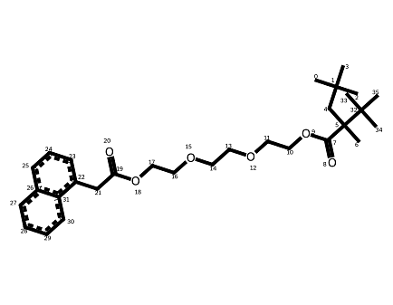 CC(C)(C)CC(C)(C(=O)OCCOCCOCCOC(=O)Cc1cccc2ccccc12)C(C)(C)C